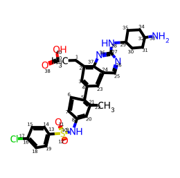 CCc1cc(-c2ccc(NS(=O)(=O)c3ccc(Cl)cc3)cc2C)cc2cnc(NC3CCC(N)CC3)nc12.O=CO